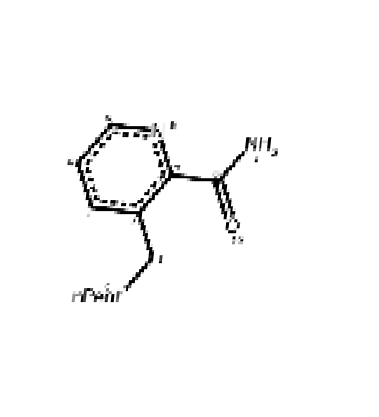 CCCCCCc1cccnc1C(N)=O